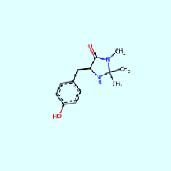 CN1C(=O)C(Cc2ccc(O)cc2)NC1(C)C